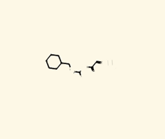 C=CC(=O)OC(C)NCC1CCCCC1